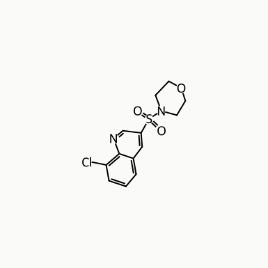 O=S(=O)(c1cnc2c(Cl)cccc2c1)N1CCOCC1